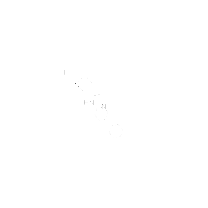 Cc1ccc(C(=O)Nc2ccc(-c3cccc(C4COC4)c3)cn2)cn1